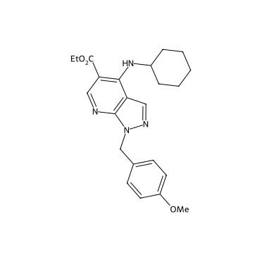 CCOC(=O)c1cnc2c(cnn2Cc2ccc(OC)cc2)c1NC1CCCCC1